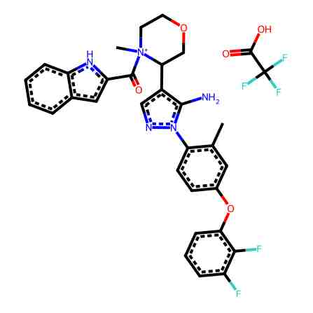 Cc1cc(Oc2cccc(F)c2F)ccc1-n1ncc(C2COCC[N+]2(C)C(=O)c2cc3ccccc3[nH]2)c1N.O=C(O)C(F)(F)F